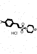 Cl.O=S(=O)(/C=C/c1ccc(Cl)cc1)N1CCNCC1